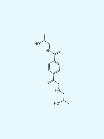 C=C(CNCC(C)O)c1ccc(C(=C)NCC(C)O)cc1